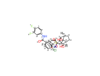 O=C(Nc1ccc(F)c(F)c1)c1ccc(Cl)c(S(=O)(=O)[C@@H]2C[C@H]3CC[C@@H](C2)[C@@]3(O)C(O)c2ccc(C(F)(F)F)cn2)c1